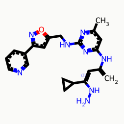 C=C(/C=C(\NN)C1CC1)Nc1cc(C)nc(NCc2cc(-c3cccnc3)no2)n1